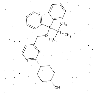 CC(C)(C)[Si](OCc1ccnc([C@H]2CC[C@@H](O)CC2)n1)(c1ccccc1)c1ccccc1